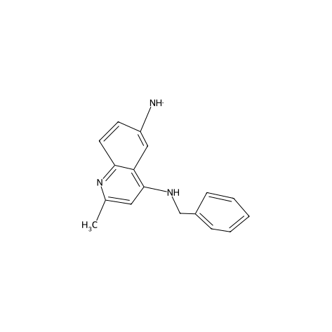 Cc1cc(NCc2ccccc2)c2cc([NH])ccc2n1